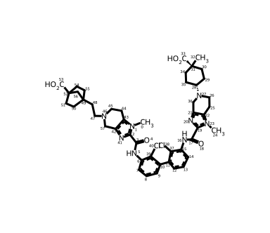 Cn1c(C(=O)Nc2cccc(-c3cccc(NC(=O)c4nc5c(n4C)CCN([C@H]4CC[C@](C)(C(=O)O)CC4)C5)c3Cl)c2Cl)nc2c1CCN(CCC13CCC(C(=O)O)(CC1)C3)C2